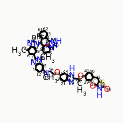 CCCc1nc2c(C)cc(-c3nc4ccc(N(C)CCOc5ccc6nc(C(C)Oc7ccc(CC8SC(=O)NC8=O)cc7)[nH]c6c5)cc4n3C)cc2n1C(c1ccccc1)c1ccccc1-c1nnn[nH]1